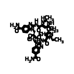 CCN/C(=C\C(C)=N)C(=O)Nc1nc2cc(C(N)=O)ccc2n1C[C@@H](OC)[C@@H](Cn1c(NC(=O)c2cc(C)nn2CC)nc2cc(C(N)=O)ccc21)OC